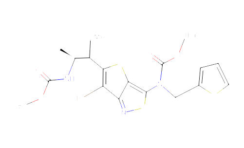 COC(c1sc2c(N(Cc3cccs3)C(=O)OC(C)(C)C)snc2c1Br)[C@H](C)NC(=O)OC(C)(C)C